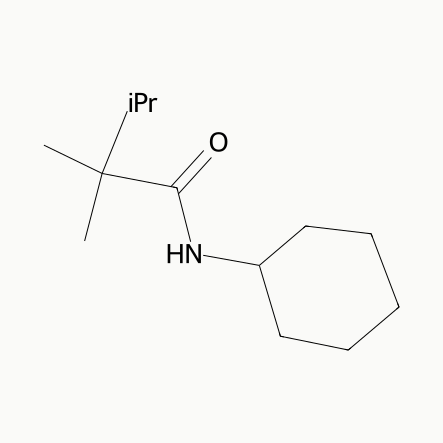 CC(C)C(C)(C)C(=O)NC1CCCCC1